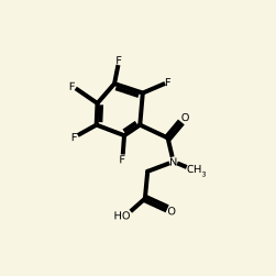 CN(CC(=O)O)C(=O)c1c(F)c(F)c(F)c(F)c1F